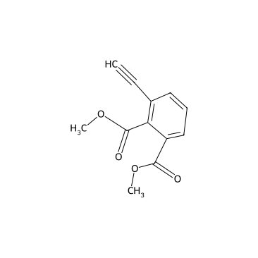 C#Cc1cccc(C(=O)OC)c1C(=O)OC